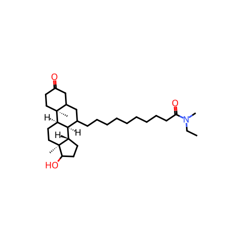 CCN(C)C(=O)CCCCCCCCCC1CC2CC(=O)CC[C@]2(C)[C@@H]2CC[C@]3(C)C(O)CC[C@H]3[C@H]12